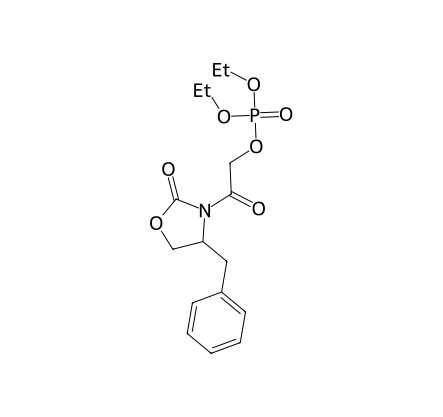 CCOP(=O)(OCC)OCC(=O)N1C(=O)OCC1Cc1ccccc1